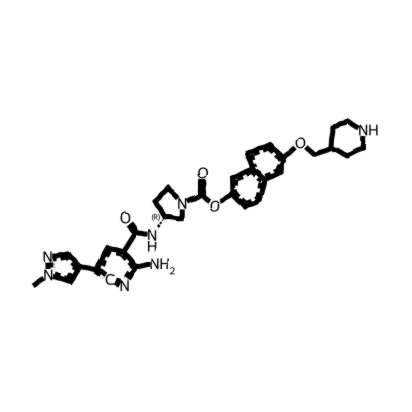 Cn1cc(-c2cnc(N)c(C(=O)N[C@@H]3CCN(C(=O)Oc4ccc5cc(OCC6CCNCC6)ccc5c4)C3)c2)cn1